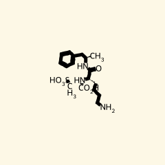 CS(=O)(=O)O.C[C@@H](Cc1ccccc1)NC(=O)[C@H](CCCCN)NC(=O)O